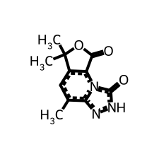 Cc1cc2c(n3c(=O)[nH]nc13)C(=O)OC2(C)C